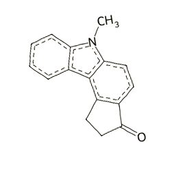 Cn1c2ccccc2c2c3c(ccc21)C(=O)CC3